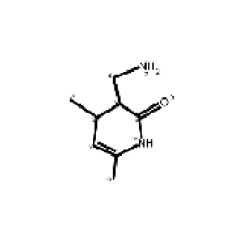 CC1=CC(C)C(CN)C(=O)N1